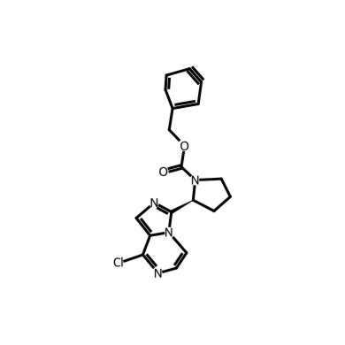 O=C(OCc1cc#ccc1)N1CCC[C@H]1c1ncc2c(Cl)nccn12